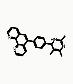 CC1=NC(C)=C(C)C(c2ccc(-c3cc4cccnc4c4ncccc34)cc2)N1